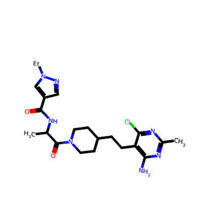 CCn1cc(C(=O)NC(C)C(=O)N2CCC(CCc3c(N)nc(C)nc3Cl)CC2)cn1